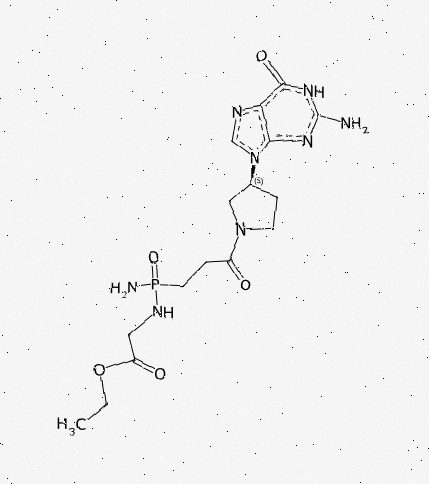 CCOC(=O)CNP(N)(=O)CCC(=O)N1CC[C@H](n2cnc3c(=O)[nH]c(N)nc32)C1